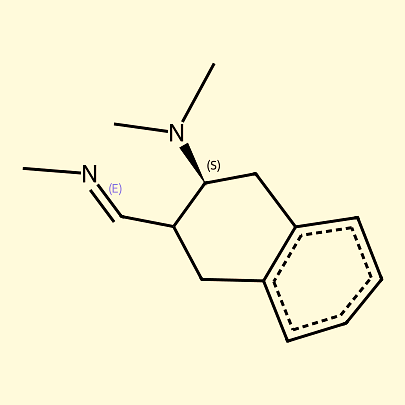 C/N=C/C1Cc2ccccc2C[C@@H]1N(C)C